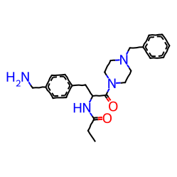 CCC(=O)NC(Cc1ccc(CN)cc1)C(=O)N1CCN(Cc2ccccc2)CC1